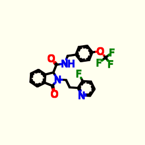 O=C(NCc1ccc(OC(F)(F)F)cc1)C1c2ccccc2C(=O)N1CCc1ncccc1F